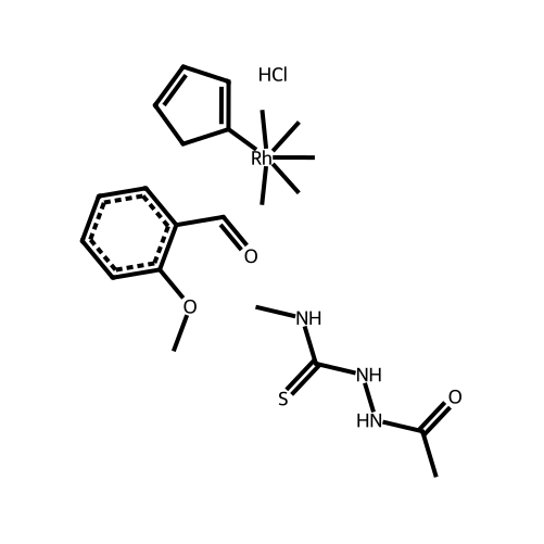 CNC(=S)NNC(C)=O.COc1ccccc1C=O.Cl.[CH3][Rh]([CH3])([CH3])([CH3])([CH3])[C]1=CC=CC1